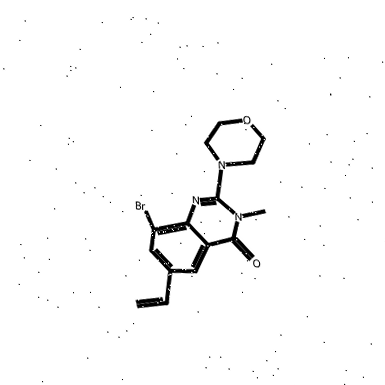 C=Cc1cc(Br)c2nc(N3CCOCC3)n(C)c(=O)c2c1